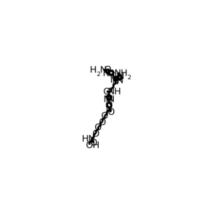 Nc1nc2cc(-c3nn(CCCCNC(=O)c4cnc(N5CCN(C(=O)CCOCCOCCOCCOCCNC(=O)CO)CC5)nc4)c4ncnc(N)c34)ccc2o1